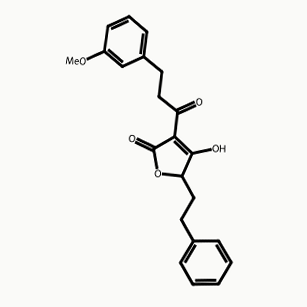 COc1cccc(CCC(=O)C2=C(O)C(CCc3ccccc3)OC2=O)c1